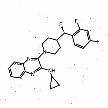 Fc1ccc([C@H](F)C2CCN(c3nc4ccccc4nc3NC3CC3)CC2)c(F)c1